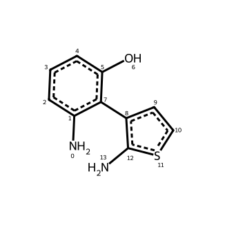 Nc1cccc(O)c1-c1ccsc1N